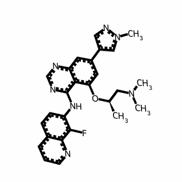 C[C@H](CN(C)C)Oc1cc(-c2cnn(C)c2)cc2ncnc(Nc3ccc4cccnc4c3F)c12